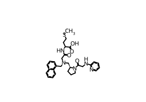 CSCCC(NC(=O)CN(Cc1cccc2ccccc12)C[C@@H]1CCCN1C(=O)CNc1ccccn1)C(=O)O